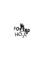 C=C(c1ccc(F)cc1)c1cnnn1C1CCc2c(CC(=O)O)c3ccccn3c2C1